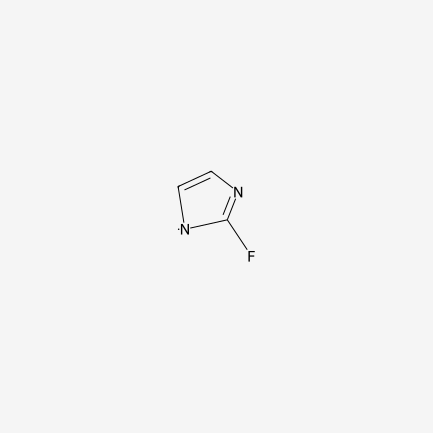 FC1=NC=C[N]1